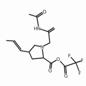 C=C(CN1CC(C=CC)CC1C(=O)OC(=O)C(F)(F)F)NC(C)=O